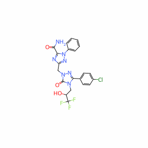 NC(=O)c1nc(Cn2nc(-c3ccc(Cl)cc3)n(CC(O)C(F)(F)F)c2=O)nn1-c1ccccc1